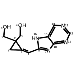 OCC1(CO)CC1=Cc1nc2ncncc2[nH]1